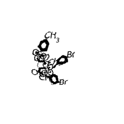 COC(=O)[C@H](C[C@H](OS(=O)(=O)c1ccc(C)cc1)C(=O)OC)CP(=O)(OCc1ccc(Br)cc1)OCc1ccc(Br)cc1